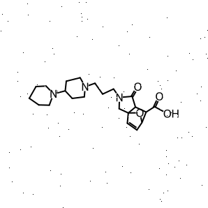 O=C(O)C1C2C=CC3(CN(CCCN4CCC(N5CCCCC5)CC4)C(=O)C13)O2